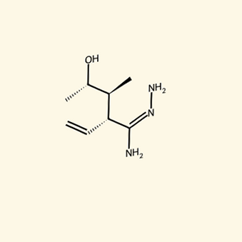 C=C[C@@H](/C(N)=N\N)[C@H](C)[C@H](C)O